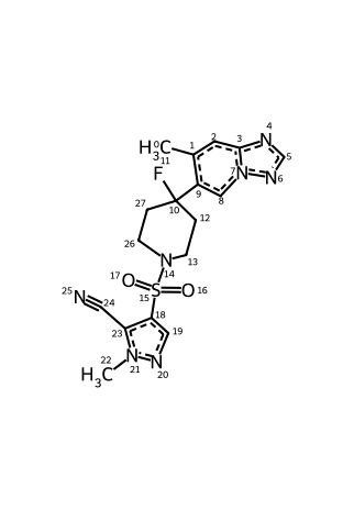 Cc1cc2ncnn2cc1C1(F)CCN(S(=O)(=O)c2cnn(C)c2C#N)CC1